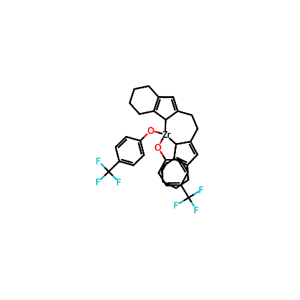 FC(F)(F)c1ccc([O][Zr]2([O]c3ccc(C(F)(F)F)cc3)[CH]3C(=CC4=C3CCCC4)CCC3=CC4=C(CCCC4)[CH]32)cc1